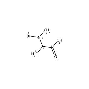 CC(C(=O)O)N(C)Br